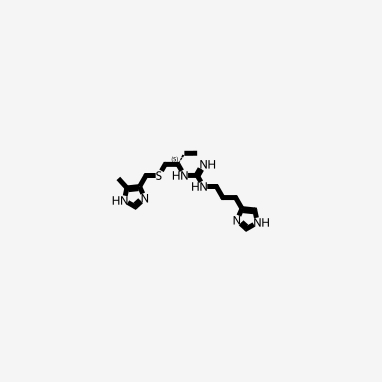 CC[C@@H](CSCc1nc[nH]c1C)NC(=N)NCCCc1c[nH]cn1